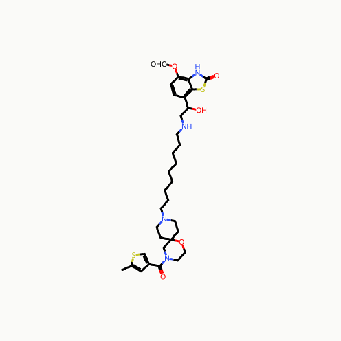 Cc1cc(C(=O)N2CCOC3(CCN(CCCCCCCCCNCC(O)c4ccc(OC=O)c5[nH]c(=O)sc45)CC3)C2)cs1